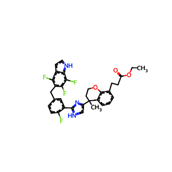 CCOC(=O)CCc1cccc2c1OCCC2(C)c1c[nH]c(-c2cc(Cc3c(F)c(F)c4[nH]ccc4c3F)ccc2F)n1